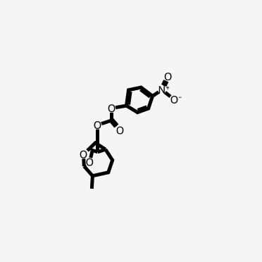 CC1CCC2COC1OCC2OC(=O)Oc1ccc([N+](=O)[O-])cc1